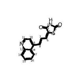 O=C1NC(=O)/C(=C\C=C\c2ccnc3ccccc23)S1